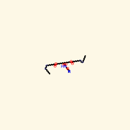 CCCCCC/C=C\C/C=C\CCCCCCC(=O)OCCCCCCC(CCCCCCOC(=O)CCCCCC/C=C\C/C=C\CCCCCC)OC(=O)NCCOCCN(C)C